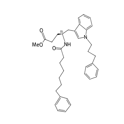 COC(=O)CC[C@@H](Cc1cn(CCCc2ccccc2)c2ccccc12)NC(=O)CCCCCCc1ccccc1